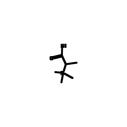 CC(C(=O)S)[Si](C)(C)C